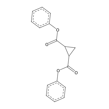 O=C(Oc1ccccc1)C1CC1C(=O)Oc1ccccc1